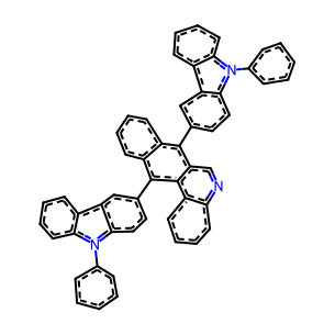 c1ccc(-n2c3ccccc3c3cc(-c4c5ccccc5c(-c5ccc6c(c5)c5ccccc5n6-c5ccccc5)c5c4cnc4ccccc45)ccc32)cc1